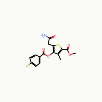 COC(=O)c1sc(CC(N)=O)c(OC(=O)c2ccc(F)cc2)c1C